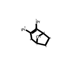 CC(C)C1=C(C(C)C)C2CCC(C1)O2